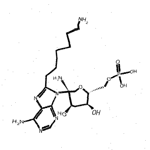 NCCCCCCc1nc2c(N)ncnc2n1[C@]1(N)O[C@H](COP(=O)(O)O)[C@@H](O)[C@H]1O